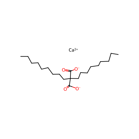 CCCCCCCCCC(CCCCCCCCC)(C(=O)[O-])C(=O)[O-].[Ca+2]